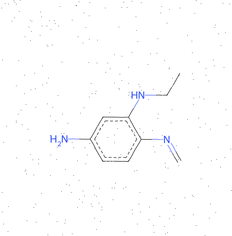 C=Nc1ccc(N)cc1NCC